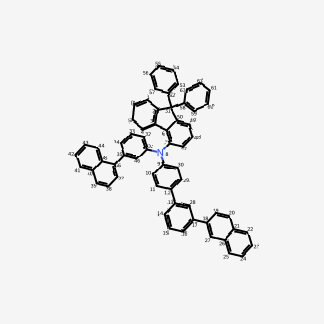 C1=CC2=C(CC1)c1c(N(c3ccc(-c4cccc(-c5ccc6ccccc6c5)c4)cc3)c3cccc(-c4cccc5ccccc45)c3)cccc1C2(c1ccccc1)c1ccccc1